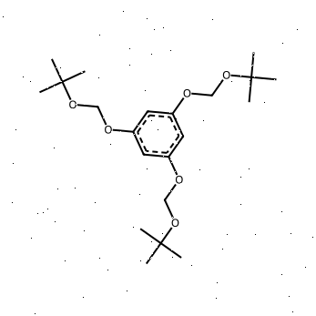 CC(C)(C)OCOc1cc(OCOC(C)(C)C)cc(OCOC(C)(C)C)c1